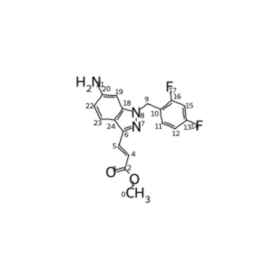 COC(=O)C=Cc1nn(Cc2ccc(F)cc2F)c2cc(N)ccc12